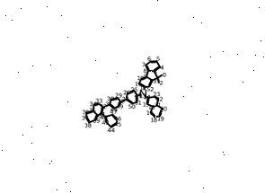 CC1(C)c2ccccc2-c2ccc(N(C3=CC4C=CC=CC4C=C3)c3ccc(-c4ccc(-c5ccc6ccccc6c5-c5ccccc5)cc4)cc3)cc21